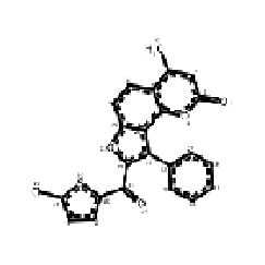 Cc1cc(=O)oc2c1ccc1oc(C(=O)c3ccc(Cl)s3)c(-c3ccccc3)c12